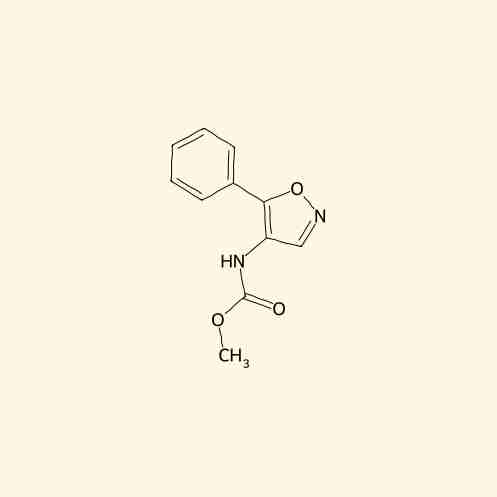 COC(=O)Nc1cnoc1-c1ccccc1